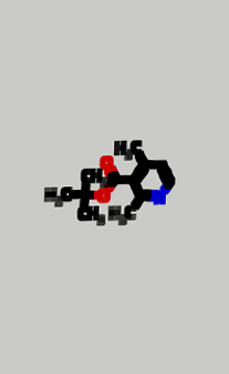 Cc1ccnc(C)c1C(=O)OC(C)(C)C